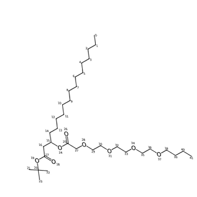 CCCCCCCCCCCCCCCC(CC(=O)OC(C)(C)C)OC(=O)COCCOCCOCCOCCCC